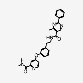 CNC(=O)c1cc(Oc2cccc(CCNC(=O)c3cnc(-c4ccccc4)nc3C)c2)ccn1